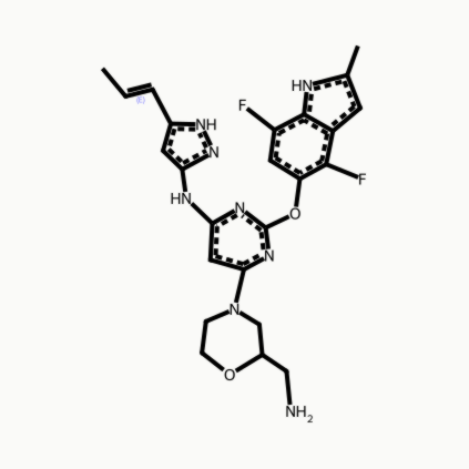 C/C=C/c1cc(Nc2cc(N3CCOC(CN)C3)nc(Oc3cc(F)c4[nH]c(C)cc4c3F)n2)n[nH]1